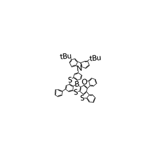 CC(C)(C)c1ccc2c(c1)c1cc(C(C)(C)C)ccc1n2-c1ccc2c(c1)Sc1cc(-c3ccccc3)cc3c1B2c1c(c2sc4ccccc4c2c2c1oc1ccccc12)S3